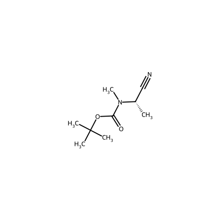 C[C@@H](C#N)N(C)C(=O)OC(C)(C)C